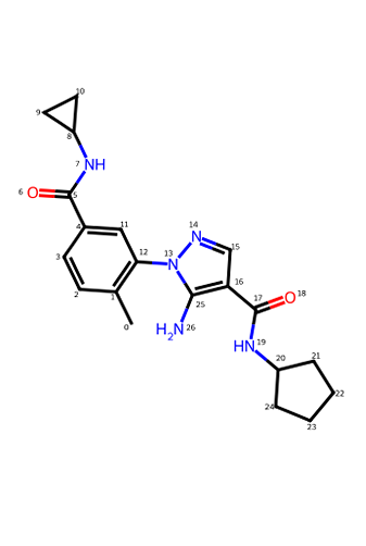 Cc1ccc(C(=O)NC2CC2)cc1-n1ncc(C(=O)NC2CCCC2)c1N